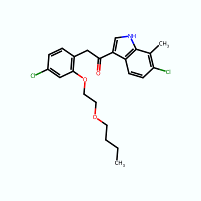 CCCCOCCOc1cc(Cl)ccc1CC(=O)c1c[nH]c2c(C)c(Cl)ccc12